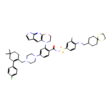 CC1(C)CCC(CN2CCN(c3ccc(C(=O)NS(=O)(=O)c4ccc(NCC5CCC6(CC5)SCCS6)c([N+](=O)[O-])c4)c(N4CCOc5nc6[nH]ccc6cc54)c3)CC2)=C(c2ccc(Cl)cc2)C1